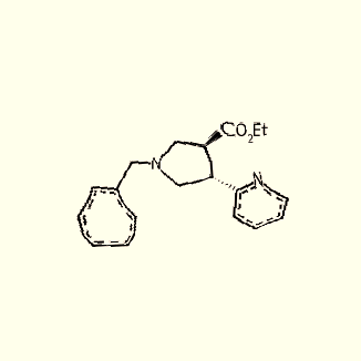 CCOC(=O)[C@@H]1CN(Cc2ccccc2)C[C@H]1c1ccccn1